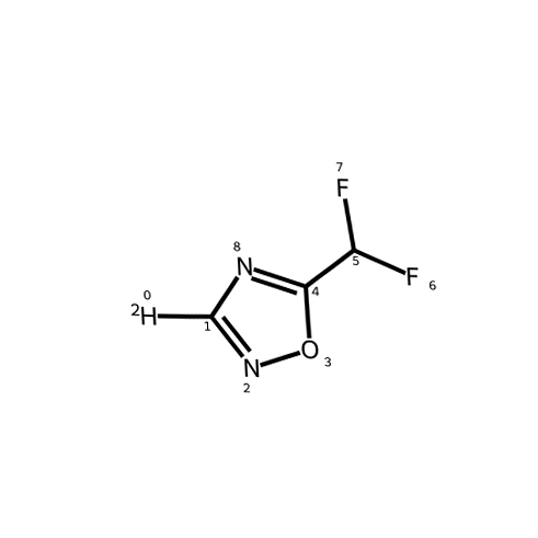 [2H]c1noc(C(F)F)n1